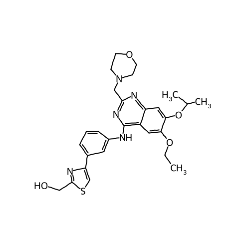 CCOc1cc2c(Nc3cccc(-c4csc(CO)n4)c3)nc(CN3CCOCC3)nc2cc1OC(C)C